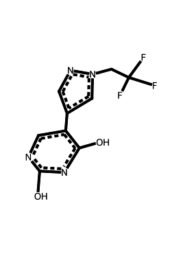 Oc1ncc(-c2cnn(CC(F)(F)F)c2)c(O)n1